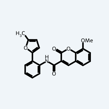 COc1cccc2cc(C(=O)Nc3ccccc3-c3ccc(C)o3)c(=O)oc12